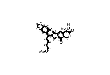 CC[C@@]1(O)C(=O)OCc2c1cc1n(c2=O)Cc2c-1nc1cc3c(cc1c2/C=C/CCOC)OCO3